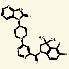 CC1(C)CN(C(=O)c2cc(N3CCC(n4c(=O)[nH]c5ncccc54)CC3)ncn2)c2ccc(F)c(F)c21